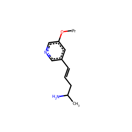 CC(N)CC=Cc1cncc(OC(C)C)c1